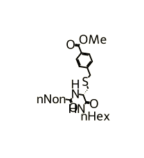 CCCCCCCCCC(=O)N[C@H](CSCc1ccc(C(=O)OC)cc1)C(=O)NCCCCCC